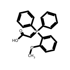 COc1ccccc1P(=CC(=O)O)(c1ccccc1)c1ccccc1